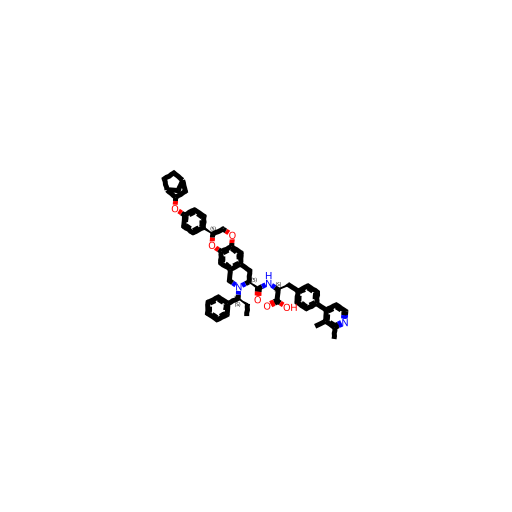 CC[C@@H](c1ccccc1)N1Cc2cc3c(cc2C[C@H]1C(=O)N[C@@H](Cc1ccc(-c2ccnc(C)c2C)cc1)C(=O)O)OC[C@H](c1ccc(OC2CC4CCC2C4)cc1)O3